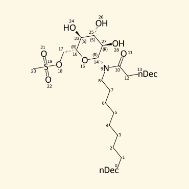 CCCCCCCCCCCCCCCCCCN(C(=O)CCCCCCCCCCC)[C@@H]1O[C@H](COS(C)(=O)=O)[C@@H](O)[C@H](O)[C@H]1O